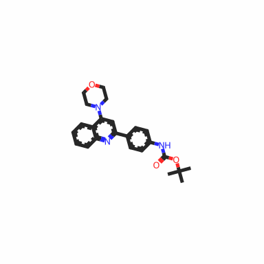 CC(C)(C)OC(=O)Nc1ccc(-c2cc(N3CCOCC3)c3ccccc3n2)cc1